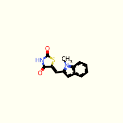 Cn1c(C=C2SC(=O)NC2=O)cc2ccccc21